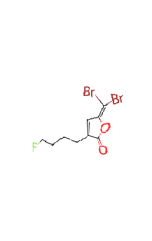 O=C1OC(=C(Br)Br)C=C1CCCCF